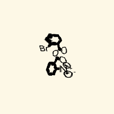 O=C(OC(=O)c1ccccc1[N+](=O)[O-])c1ccccc1Br